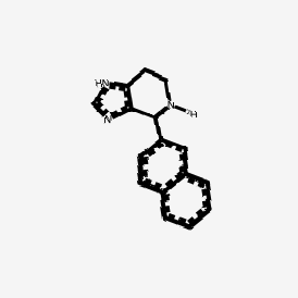 [2H]N1CCc2[nH]cnc2C1c1ccc2ccccc2c1